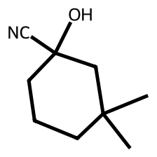 CC1(C)CCCC(O)(C#N)C1